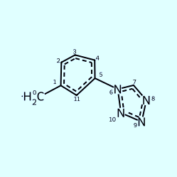 [CH2]c1cccc(-n2cnnn2)c1